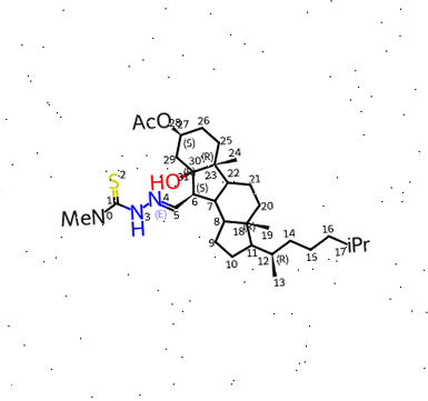 CNC(=S)N/N=C/[C@@H]1C2C3CCC([C@H](C)CCCC(C)C)[C@@]3(C)CCC2[C@@]2(C)CC[C@H](OC(C)=O)C[C@@]12O